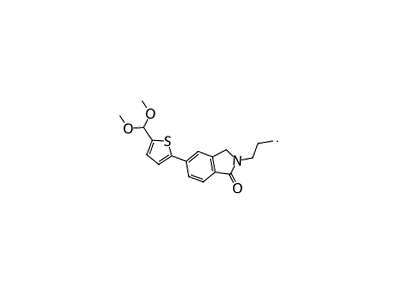 [CH2]CCN1Cc2cc(-c3ccc(C(OC)OC)s3)ccc2C1=O